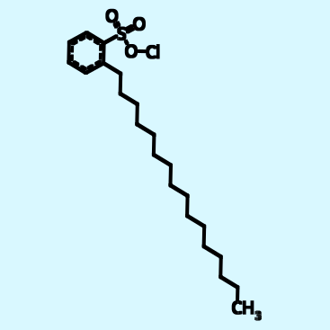 CCCCCCCCCCCCCCCCc1ccccc1S(=O)(=O)OCl